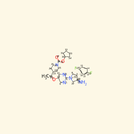 C[C@H](Oc1cnc(N2C[C@H](c3cc(F)ccc3F)[C@@H](N)C2)nc1)C1CCN(C(=O)OC2CCCC2)CC1